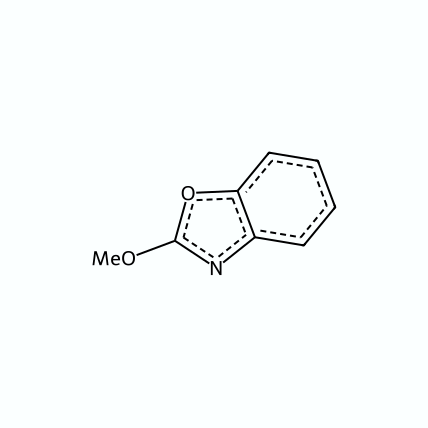 COc1nc2ccccc2o1